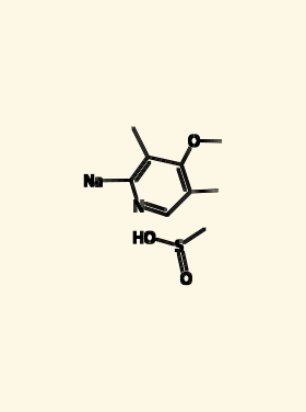 COc1c(C)cn[c]([Na])c1C.CS(=O)O